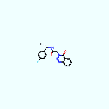 C[C@H](NC(=O)Cn1nnc2ccccc2c1=O)c1ccc(F)cc1